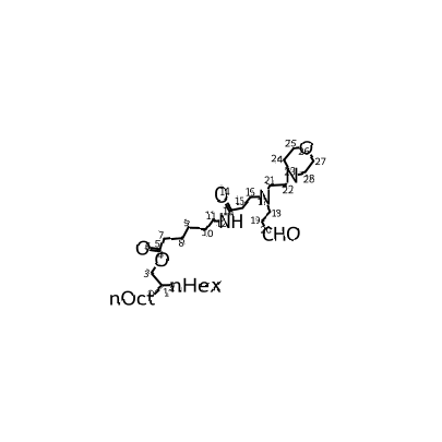 CCCCCCCCC(CCCCCC)COC(=O)CCCCCNC(=O)CCN(CCC=O)CCN1CCOCC1